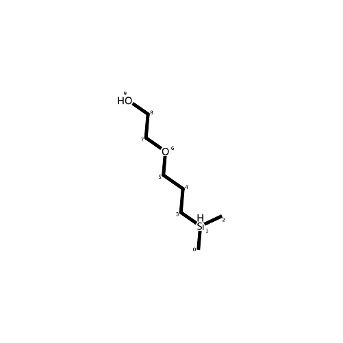 C[SiH](C)CCCOCCO